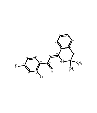 CC1(C)Cc2ccccc2/C(=C/C(=O)c2ccc(Br)cc2Cl)N1